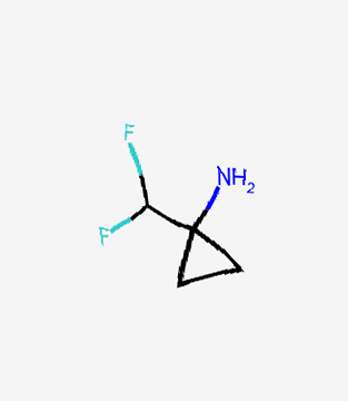 NC1(C(F)F)CC1